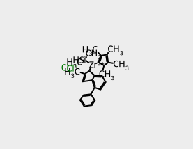 CC1=Cc2c(-c3ccccc3)cccc2[CH]1[Zr+2]([C]1=C(C)C(C)=C(C)C1C)[SiH](C)C.[Cl-].[Cl-]